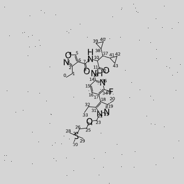 CCc1nocc1C(=O)NC(C(=O)Nc1ccc(-c2c(C)nn(COCCS(C)(C)C)c2CC)c(F)n1)C(C1CC1)C1CC1